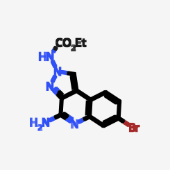 CCOC(=O)Nn1cc2c(n1)c(N)nc1cc(Br)ccc12